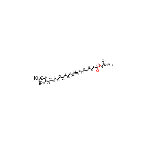 CCCCC(CC)COC(=O)CCCCCCCCCCCCCCCCCCCCC(CC(=O)O)C(C)C